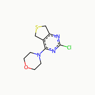 Clc1nc2c(c(N3CCOCC3)n1)CSC2